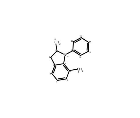 C[C]1Cc2cccc(C)c2N1c1ccccc1